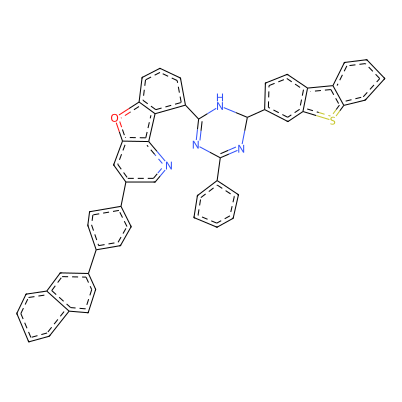 c1ccc(C2=NC(c3ccc4c(c3)sc3ccccc34)NC(c3cccc4oc5cc(-c6ccc(-c7ccc8ccccc8c7)cc6)cnc5c34)=N2)cc1